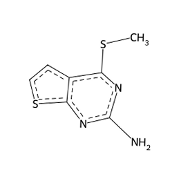 CSc1nc(N)nc2sccc12